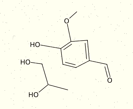 CC(O)CO.COc1cc(C=O)ccc1O